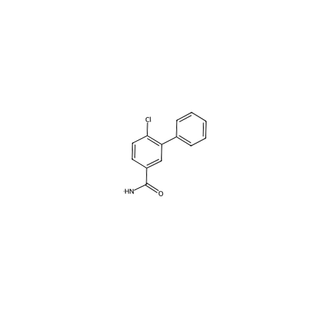 [NH]C(=O)c1ccc(Cl)c(-c2ccccc2)c1